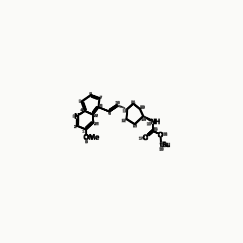 COc1cnc2cccc(/C=C/[C@H]3CC[C@H](NC(=O)OC(C)(C)C)CC3)c2c1